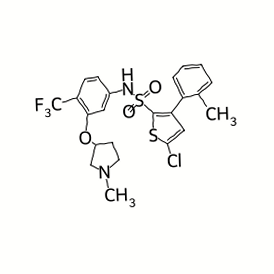 Cc1ccccc1-c1cc(Cl)sc1S(=O)(=O)Nc1ccc(C(F)(F)F)c(OC2CCN(C)C2)c1